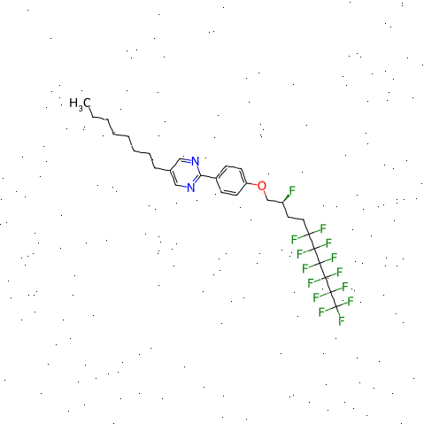 CCCCCCCCc1cnc(-c2ccc(OC[C@@H](F)CCC(F)(F)C(F)(F)C(F)(F)C(F)(F)C(F)(F)C(F)(F)F)cc2)nc1